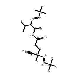 CC(C)C(N=NC(C)(C)C)C(C)OC(=O)CCC(C)(C#N)N=NC(C)(C)C